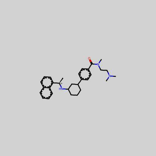 C[C@@H](NC1CCCC(c2ccc(C(=O)N(C)CCN(C)C)cc2)C1)c1cccc2ccccc12